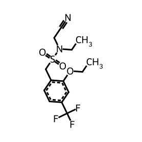 CCOc1cc(C(F)(F)F)ccc1CS(=O)(=O)N(CC)CC#N